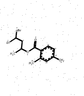 CCCCC(CC)CC(C)OC(=O)c1ccc(C)cc1C